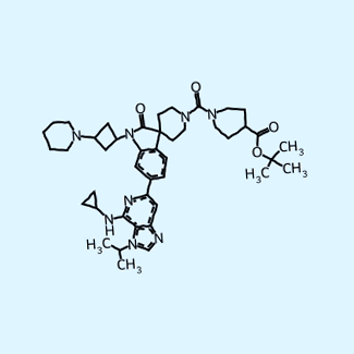 CC(C)n1cnc2cc(-c3ccc4c(c3)N(C3CC(N5CCCCC5)C3)C(=O)C43CCN(C(=O)N4CCC(C(=O)OC(C)(C)C)CC4)CC3)nc(NC3CC3)c21